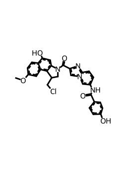 COc1ccc2c(O)cc3c(c2c1)C(CCl)CN3C(=O)c1cn2cc(NC(=O)c3ccc(O)cc3)ccc2n1